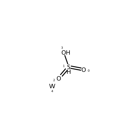 O=[SH](=O)O.[W]